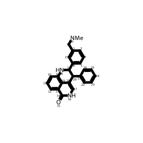 CNCc1cccc(C2Nc3cccc4c(=O)[nH]cc(c34)C2c2ccccc2)c1